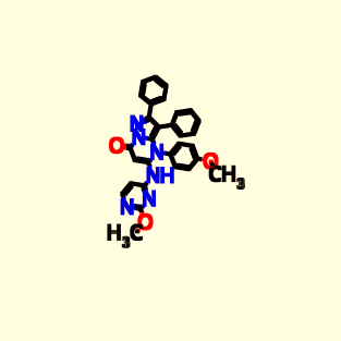 COc1ccc(-n2c(Nc3ccnc(OC)n3)cc(=O)n3nc(-c4ccccc4)c(-c4ccccc4)c23)cc1